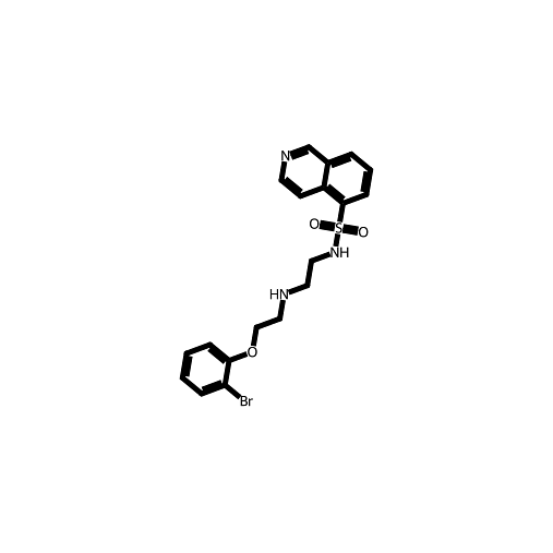 O=S(=O)(NCCNCCOc1ccccc1Br)c1cccc2cnccc12